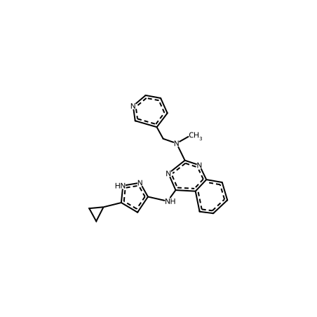 CN(Cc1cccnc1)c1nc(Nc2cc(C3CC3)[nH]n2)c2ccccc2n1